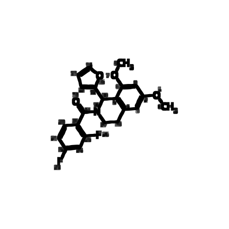 COc1cc2c(c(OC)c1)C(c1ccco1)N(C(=O)c1ccc(F)cc1F)CC2